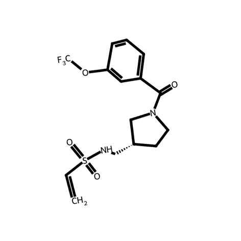 C=CS(=O)(=O)NC[C@H]1CCN(C(=O)c2cccc(OC(F)(F)F)c2)C1